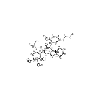 CCCCc1ccc(OC)c(Cc2c(C[N+](C=O)(CCC(C)C)c3ccc(OC)c(OC)c3Cl)nc3ccccn23)c1